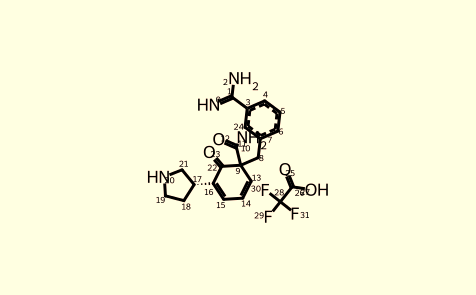 N=C(N)c1cccc(CC2(C(N)=O)C=CC=C([C@@H]3CCNC3)C2=O)c1.O=C(O)C(F)(F)F